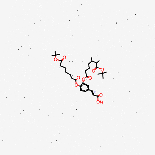 CC(CCCC(=O)Oc1cc(/C=C/C(=O)O)ccc1OC(=O)CCCCCC(=O)OC(C)(C)C)C(C)C(=O)OC(C)(C)C